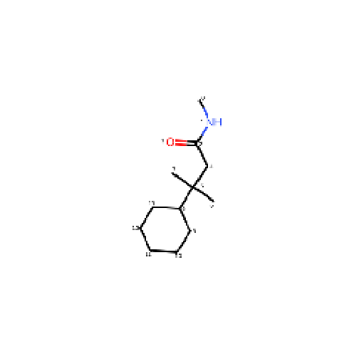 CNC(=O)CC(C)(C)C1CCCCC1